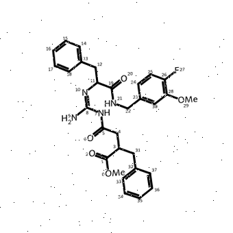 COC(=O)C(CC(=O)NC(N)=NC(Cc1ccccc1)C(=O)NCc1ccc(F)c(OC)c1)Cc1ccccc1